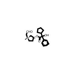 C[N@+]1(CC=O)CC[C@@H](OC(=O)C(O)(c2ccccc2)C2CCCC2)C1